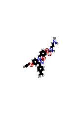 C#CCOc1ccc2c(c1)c(-c1ccc(C(C)C)cc1)nc(=O)n2Cc1ccc(OC(=O)N(C)CCCN(C)C)cc1